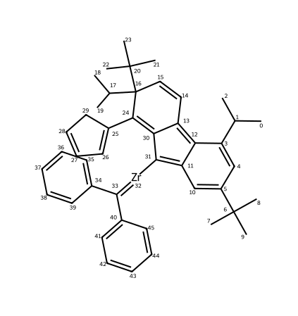 CC(C)c1cc(C(C)(C)C)cc2c1=C1C=CC(C(C)C)(C(C)(C)C)C(C3=CC=CC3)=C1[C]=2[Zr]=[C](c1ccccc1)c1ccccc1